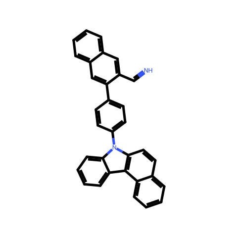 N=Cc1cc2ccccc2cc1-c1ccc(-n2c3ccccc3c3c4ccccc4ccc32)cc1